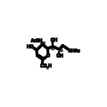 CC(=O)NC[C@H](O)[C@H](O)C1OC(C(=O)O)=CC(O)[C@H]1NC(C)=O